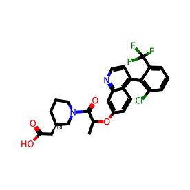 CC(Oc1ccc2c(-c3c(Cl)cccc3C(F)(F)F)ccnc2c1)C(=O)N1CCC[C@H](CC(=O)O)C1